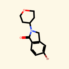 O=C1c2ccc(Br)cc2CN1C1CCOCC1